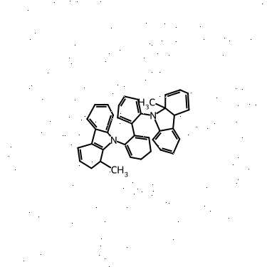 CC1CC=Cc2c1n(C1=CCCC=C1c1ccccc1N1c3ccccc3C3C=CC=CC31C)c1ccccc21